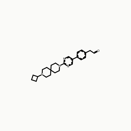 O=CCc1ccc(-c2cnc(N3CCC4(CC3)CCN(C3CCC3)CC4)nc2)cc1